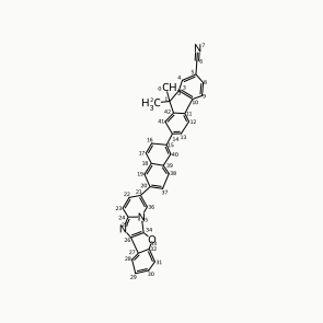 CC1(C)c2cc(C#N)ccc2-c2ccc(-c3ccc4cc(-c5ccc6nc7c8ccccc8oc7n6c5)ccc4c3)cc21